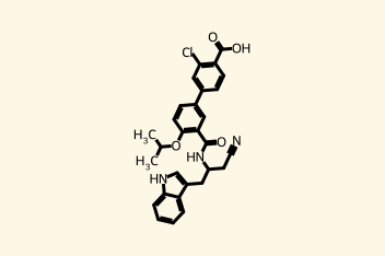 CC(C)Oc1ccc(-c2ccc(C(=O)O)c(Cl)c2)cc1C(=O)NC(CC#N)Cc1c[nH]c2ccccc12